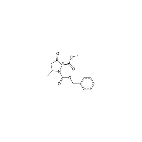 COC(=O)[C@@H]1C(=O)CC(C)N1C(=O)OCc1ccccc1